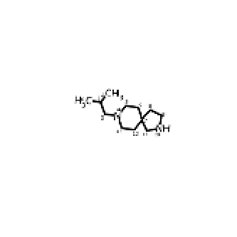 CC(C)CN1CCC2(CCNC2)CC1